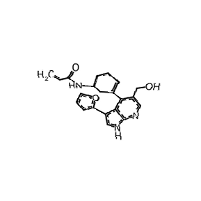 C=CC(=O)NC1CCC=C(c2c(CO)cnc3[nH]cc(-c4ccco4)c23)C1